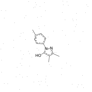 Cc1ccc(-n2nc(C)c(C)c2O)cc1